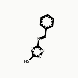 Sc1nnc(N=Cc2ccccc2)s1